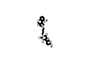 COc1ccc2c(n1)sc1c(=O)n(CCCCN3C[C@@H]4COc5cccc(OC)c5[C@@H]4C3)c(=O)[nH]c12